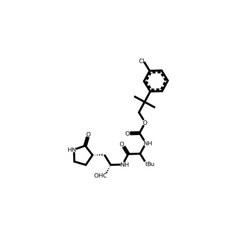 CC(C)(COC(=O)NC(C(=O)N[C@H](C=O)C[C@@H]1CCNC1=O)C(C)(C)C)c1cccc(Cl)c1